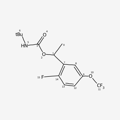 CC(OC(=O)NC(C)(C)C)c1cc(OC(F)(F)F)ccc1F